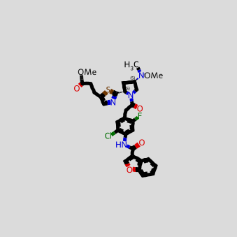 COC(=O)CCc1cnc([C@@H]2C[C@H](N(C)OC)CN2C(=O)Cc2cc(Cl)c(NC(=O)c3coc4ccccc34)cc2F)s1